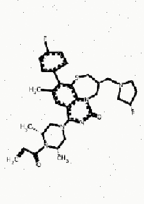 C=CC(=O)N1[C@H](C)CN(c2nc(=O)n3c4c(c(-c5ccc(F)cc5)c(C)cc24)SC[C@@H](CN2CC[C@H](F)C2)C3)C[C@@H]1C